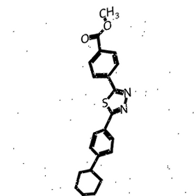 COC(=O)c1ccc(-c2nnc(-c3ccc(C4CCCCC4)cc3)s2)cc1